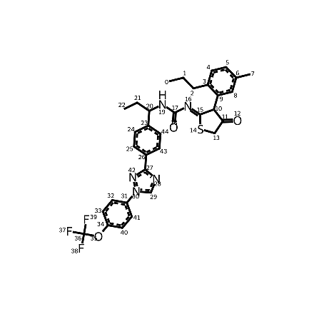 CCCc1ccc(C)cc1C1C(=O)CS/C1=N\C(=O)NC(CC)c1ccc(-c2ncn(-c3ccc(OC(F)(F)F)cc3)n2)cc1